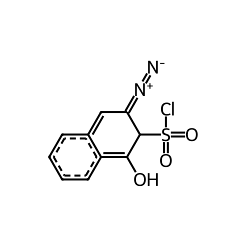 [N-]=[N+]=C1C=c2ccccc2=C(O)C1S(=O)(=O)Cl